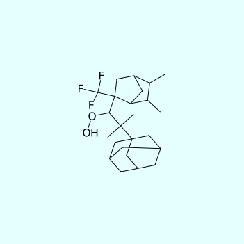 CC1C2CC(C1C)C(C(OO)C(C)(C)C13CC4CC(CC(C4)C1)C3)(C(F)(F)F)C2